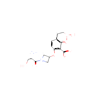 C[C@@H](O)[C@H](N)C(=O)N1CC(Oc2ccc3c(c2C(=O)O)OB(O)CC3)C1